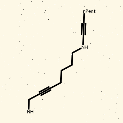 CCCCCC#CNCCCCC#CC[NH]